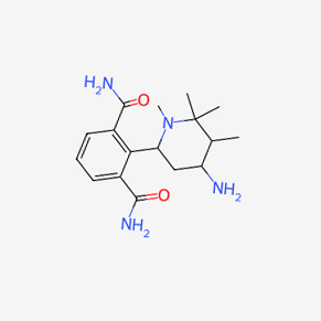 CC1C(N)CC(c2c(C(N)=O)cccc2C(N)=O)N(C)C1(C)C